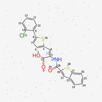 O=C(O)/C(=C\c1ccc(-c2ccccc2Cl)s1)NC(=O)c1cc2ccccc2s1